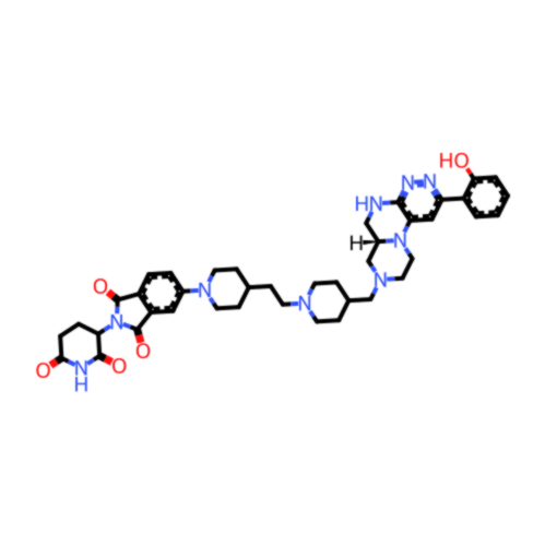 O=C1CCC(N2C(=O)c3ccc(N4CCC(CCN5CCC(CN6CCN7c8cc(-c9ccccc9O)nnc8NC[C@H]7C6)CC5)CC4)cc3C2=O)C(=O)N1